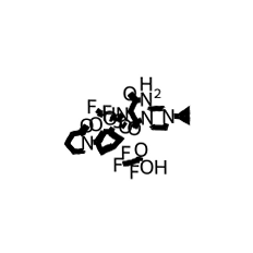 NC(=O)[C@H](NS(=O)(=O)c1cccc(N2CCCCC2=O)c1OC(F)F)C(=O)N1CCN(C2CC2)CC1.O=C(O)C(F)(F)F